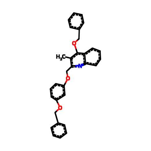 Cc1c(COc2cccc(OCc3ccccc3)c2)nc2ccccc2c1OCc1ccccc1